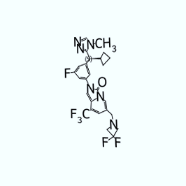 Cn1cnnc1[C@H](c1cc(F)cc(-n2cc3c(C(F)(F)F)cc(CN4CC(F)(F)C4)cn3c2=O)c1)C1CCC1